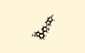 CN1CC2CN(c3ccc(-c4cccc5[nH]ccc45)cn3)CC2C1